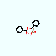 O=C(OC(c1ccccc1)[SH](=O)=O)c1ccccc1